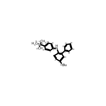 CC(C)(C)c1ccc(Nc2ccc([Si](C)(C)C)cc2)c(-c2ccccc2)c1